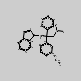 CN(C)C[C]([Ti+3][CH]1C=Cc2ccccc21)(c1ccccc1)c1ccccc1.[Cl-].[Cl-].[Cl-]